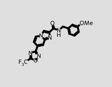 COc1cccc(CNC(=O)c2cn3ccc(-c4noc(C(F)(F)F)n4)cc3n2)c1